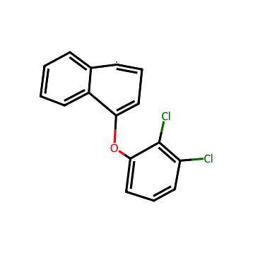 Clc1cccc(Oc2cc[c]c3ccccc23)c1Cl